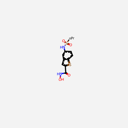 CCCS(=O)(=O)Nc1ccc2sc(C(=O)NO)cc2c1